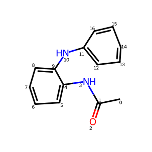 CC(=O)Nc1ccccc1Nc1ccccc1